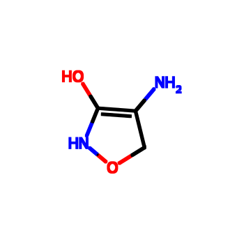 NC1=C(O)NOC1